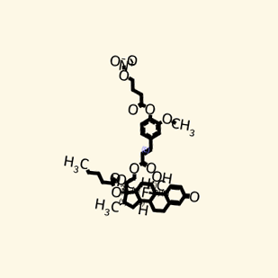 CCCCC(=O)O[C@]1(C(=O)COC(=O)/C=C/c2ccc(OC(=O)CCCO[N+](=O)[O-])c(OC)c2)[C@@H](C)C[C@H]2C3CCC4=CC(=O)C=C[C@]4(C)[C@@]3(F)[C@@H](O)C[C@@]21C